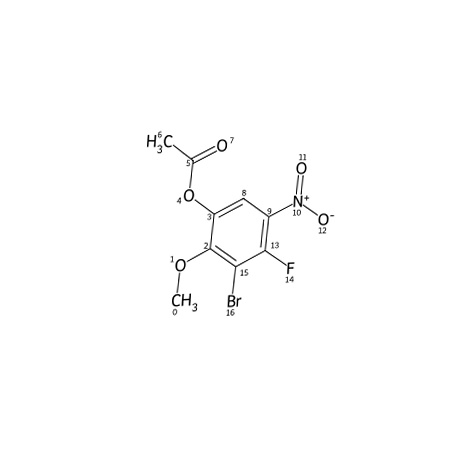 COc1c(OC(C)=O)cc([N+](=O)[O-])c(F)c1Br